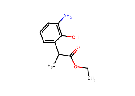 CCOC(=O)C(C)c1cccc(N)c1O